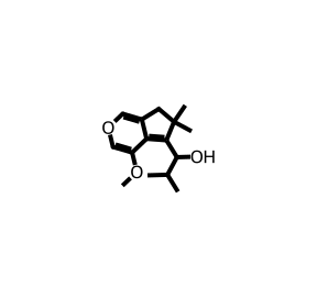 COC1=COC=C2CC(C)(C)C(C(O)C(C)C)=C21